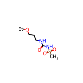 CCOCCCNC(=O)NS(C)(=O)=O